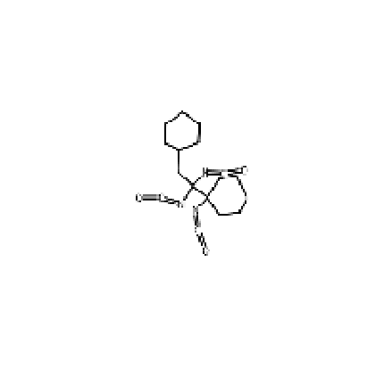 O=C=NC1(C(CC2CCCCC2)(N=C=O)N=C=O)CCCCC1